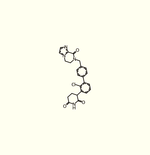 O=C1CCC(c2cccc(-c3ccc(CN4CCn5ccnc5C4=O)cc3)c2Cl)C(=O)N1